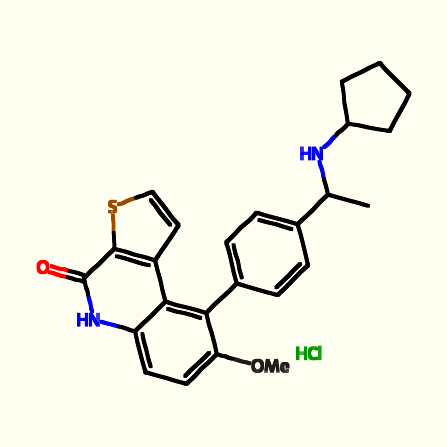 COc1ccc2[nH]c(=O)c3sccc3c2c1-c1ccc(C(C)NC2CCCC2)cc1.Cl